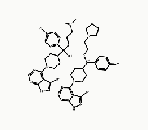 CN(C)CCCC(O)(c1ccc(Cl)cc1)C1CCN(c2ncnc3[nH]nc(Br)c23)CC1.Clc1ccc([C@H](OCCN2CCCC2)C2CCN(c3ncnc4[nH]nc(Br)c34)CC2)cc1